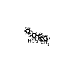 CN(C)C1(c2nc(-c3ccc(Sc4ccccc4)cc3)cs2)CCOCC1.Cl